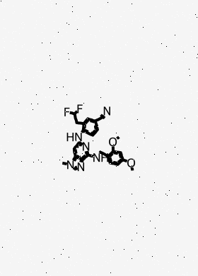 COc1ccc(CNc2nc(Nc3ccc(C#N)cc3CC(F)F)cc3c2ncn3C)c(OC)c1